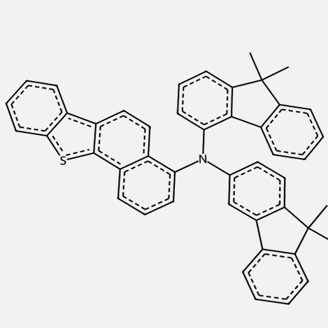 CC1(C)c2ccccc2-c2cc(N(c3cccc4c3-c3ccccc3C4(C)C)c3cccc4c3ccc3c5ccccc5sc43)ccc21